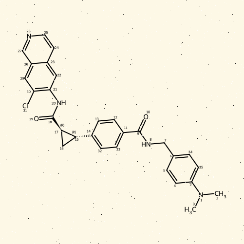 CN(C)c1ccc(CNC(=O)c2ccc([C@@H]3C[C@H]3C(=O)Nc3cc4ccncc4cc3Cl)cc2)cc1